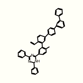 C=Cc1ccc(-c2ccc(-c3cccc(-c4ccccc4)c3)cc2)cc1-c1cc(C2=NC(c3ccccc3)=NC(c3ccccc3)N2)ccc1C